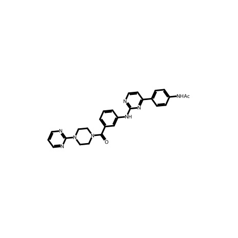 CC(=O)Nc1ccc(-c2ccnc(Nc3cccc(C(=O)N4CCN(c5ncccn5)CC4)c3)n2)cc1